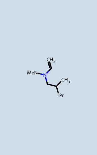 C=CN(CC(C)C(C)C)NC